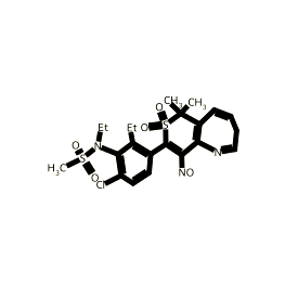 CCc1c(C2=C(N=O)C3=C(C=CCC=N3)C(C)(C)S2(=O)=O)ccc(Cl)c1N(CC)S(C)(=O)=O